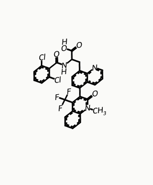 Cn1c(=O)c(-c2ccc(CC(NC(=O)c3c(Cl)cccc3Cl)C(=O)O)c3ncccc23)c(C(F)(F)F)c2ccccc21